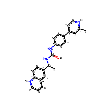 Cc1cc(-c2ccc(NC(=O)NC(C)c3ccc4ncccc4c3)cc2)ccn1